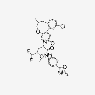 COC(CC(C(=O)Nc1ccc(C(N)=O)cc1)n1cc2c(cc1=O)-c1cc(Cl)ccc1CC(C)CO2)C(F)F